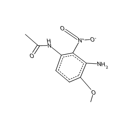 COc1ccc(NC(C)=O)c([N+](=O)[O-])c1N